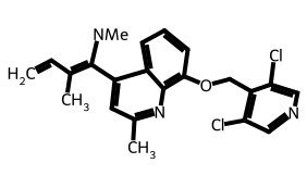 C=C/C(C)=C(\NC)c1cc(C)nc2c(OCc3c(Cl)cncc3Cl)cccc12